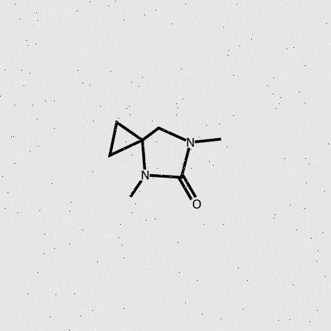 CN1CC2(CC2)N(C)C1=O